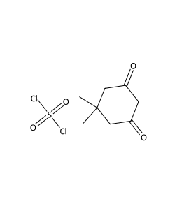 CC1(C)CC(=O)CC(=O)C1.O=S(=O)(Cl)Cl